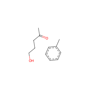 CC(=O)CCCO.Cc1ccccc1